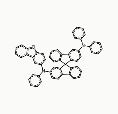 c1ccc(N(c2ccccc2)c2ccc3c(c2)-c2ccccc2C32c3ccccc3-c3ccc(N(c4ccccc4)c4ccc5oc6ccccc6c5c4)cc32)cc1